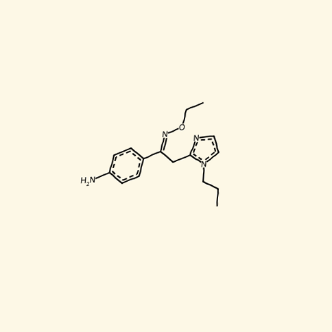 CCCn1ccnc1CC(=NOCC)c1ccc(N)cc1